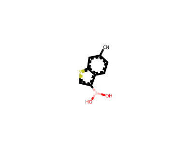 N#Cc1ccc2c(B(O)O)csc2c1